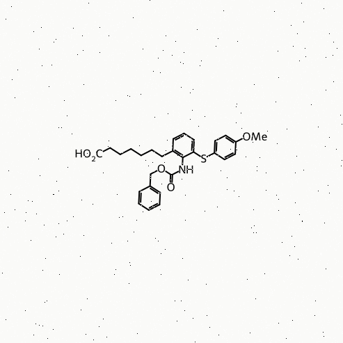 COc1ccc(Sc2cccc(CCCCCCC(=O)O)c2NC(=O)OCc2ccccc2)cc1